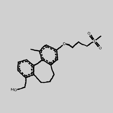 Cc1cc(OCCCS(C)(=O)=O)cc2c1-c1cccc(CO)c1CCC2